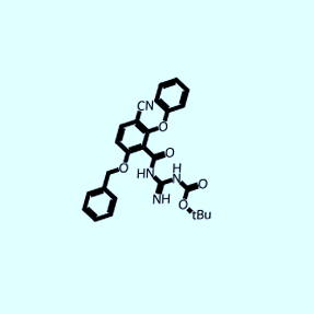 CC(C)(C)OC(=O)NC(=N)NC(=O)c1c(OCc2ccccc2)ccc(C#N)c1Oc1ccccc1